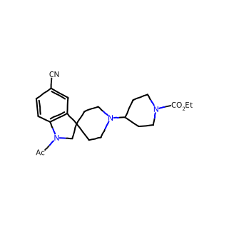 CCOC(=O)N1CCC(N2CCC3(CC2)CN(C(C)=O)c2ccc(C#N)cc23)CC1